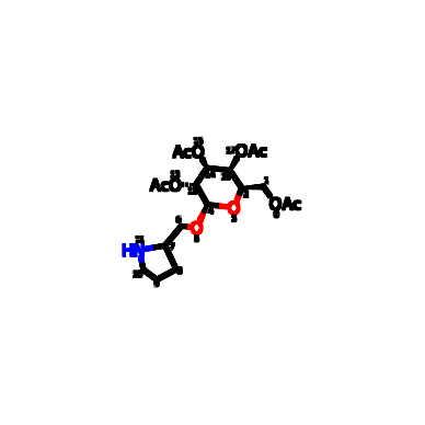 CC(=O)OC[C@H]1O[C@@H](OCC2CCCN2)[C@H](OC(C)=O)[C@@H](OC(C)=O)[C@H]1OC(C)=O